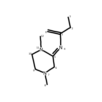 C=C(CC)/N=C1/CN(C)CCN1C